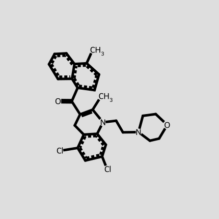 CC1=C(C(=O)c2ccc(C)c3ccccc23)Cc2c(Cl)cc(Cl)cc2N1CCN1CCOCC1